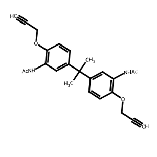 C#CCOc1ccc(C(C)(C)c2ccc(OCC#C)c(NC(C)=O)c2)cc1NC(C)=O